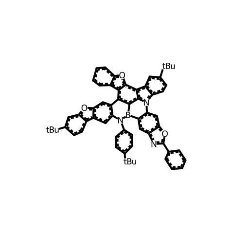 CC(C)(C)c1ccc(N2B3c4cc5nc(-c6ccccc6)oc5cc4-n4c5ccc(C(C)(C)C)cc5c5c6oc7ccccc7c6c(c3c54)-c3cc4oc5cc(C(C)(C)C)ccc5c4cc32)cc1